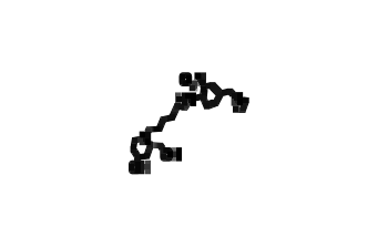 O=[N+]([O-])c1cc(CN2CCC2)ccc1NCCCCCCN1CCC(O)CC1CO